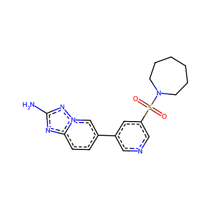 Nc1nc2ccc(-c3cncc(S(=O)(=O)N4CCCCCC4)c3)cn2n1